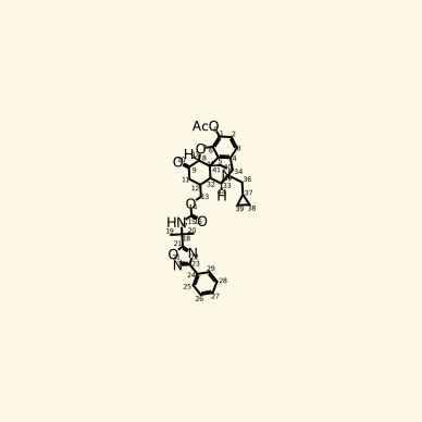 CC(=O)Oc1ccc2c3c1O[C@H]1C(=O)CC(COC(=O)NC(C)(C)c4nc(-c5ccccc5)no4)C4[C@@H](C2)N(CC2CC2)CC[C@@]341